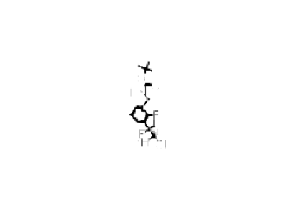 [2H]C([2H])(O)C(F)(F)c1cccc([C@@H](C)NC(=O)OC(C)(C)C)c1F